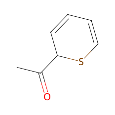 CC(=O)C1C=CC=CS1